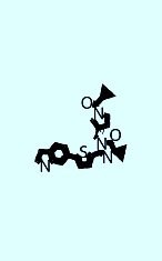 O=C(C1CC1)N1CC[C@@H](CN2C(=O)C3(CC3)N=C2c2ccc(-c3ccc4c(c3)N=CC4)s2)C1